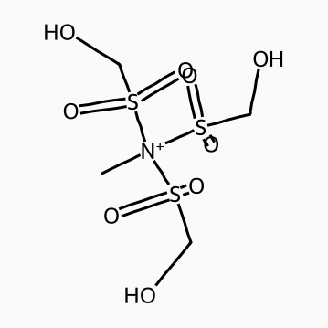 C[N+](S(=O)(=O)CO)(S(=O)(=O)CO)S(=O)(=O)CO